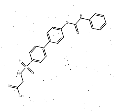 O=C(O)CNS(=O)(=O)c1ccc(-c2ccc(OC(=O)Nc3ccccc3)cc2)cc1